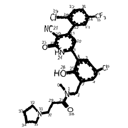 CN(Cc1cc(Cl)cc(-c2cc(-c3cc(C(F)(F)F)ccc3Cl)c(C#N)c(=O)[nH]2)c1O)C(=O)CCN1CCCC1